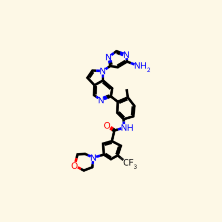 Cc1ccc(NC(=O)c2cc(N3CCOCC3)cc(C(F)(F)F)c2)cc1-c1cc2c(ccn2-c2cc(N)ncn2)cn1